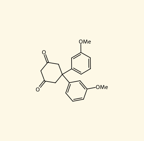 COc1cccc(C2(c3cccc(OC)c3)CC(=O)CC(=O)C2)c1